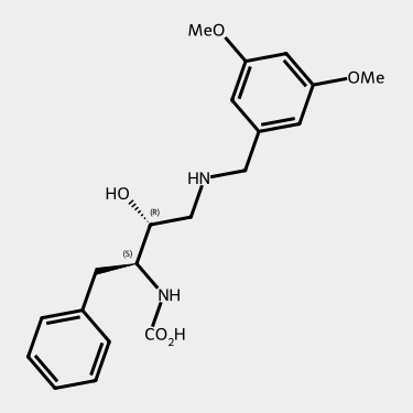 COc1cc(CNC[C@@H](O)[C@H](Cc2ccccc2)NC(=O)O)cc(OC)c1